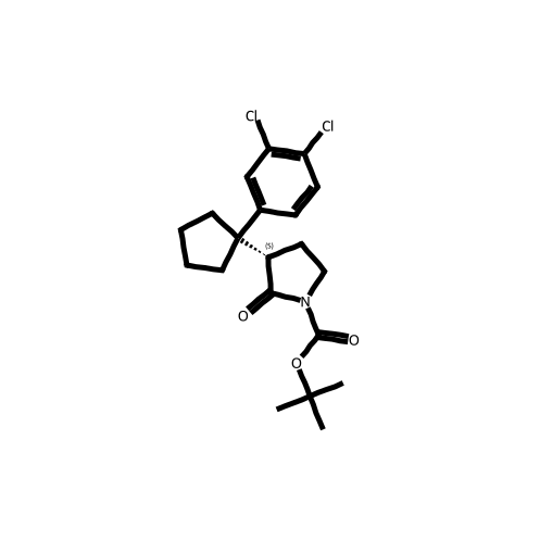 CC(C)(C)OC(=O)N1CC[C@@H](C2(c3ccc(Cl)c(Cl)c3)CCCC2)C1=O